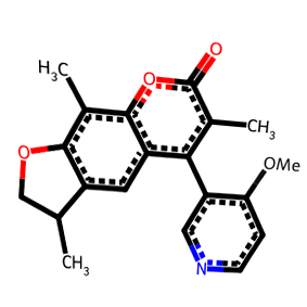 COc1ccncc1-c1c(C)c(=O)oc2c(C)c3c(cc12)C(C)CO3